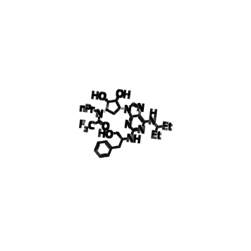 CCCN(C(=O)C(F)(F)F)[C@H]1C[C@@H](n2cnc3c(NC(CC)CC)nc(N[C@H](CO)Cc4ccccc4)nc32)[C@H](O)[C@@H]1O